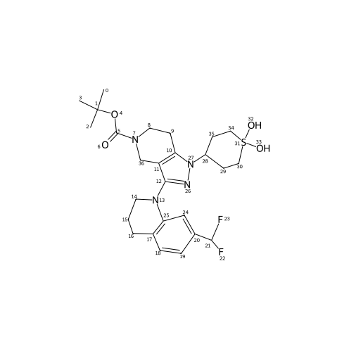 CC(C)(C)OC(=O)N1CCc2c(c(N3CCCc4ccc(C(F)F)cc43)nn2C2CCS(O)(O)CC2)C1